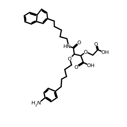 Nc1ccc(CCCCCOC(C(=O)NCCCCCc2ccc3ccccc3c2)C(OCC(=O)O)C(=O)O)cc1